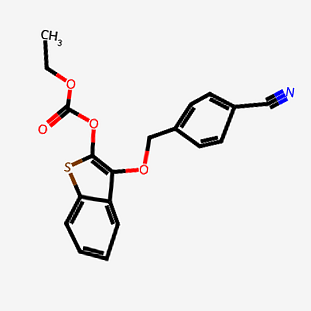 CCOC(=O)Oc1sc2ccccc2c1OCc1ccc(C#N)cc1